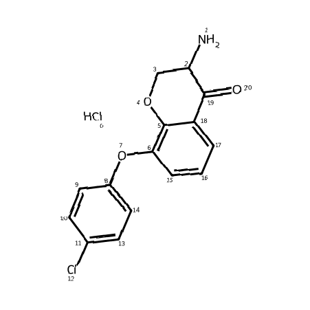 Cl.NC1COc2c(Oc3ccc(Cl)cc3)cccc2C1=O